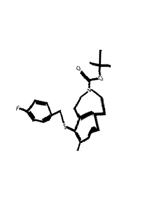 Cc1ccc2c(c1SCc1ccc(F)cc1)CCN(C(=O)OC(C)(C)C)CC2